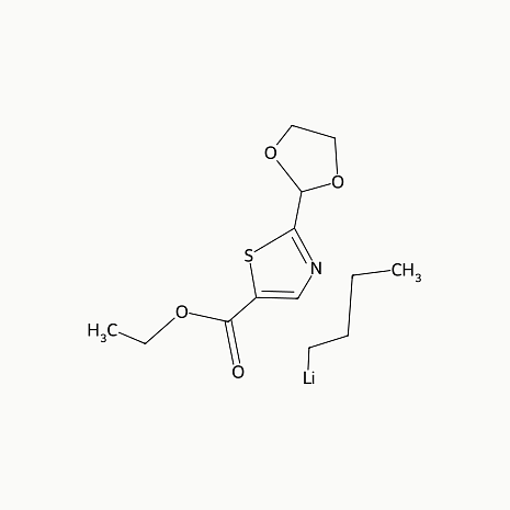 CCOC(=O)c1cnc(C2OCCO2)s1.[Li][CH2]CCC